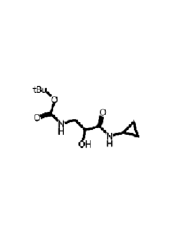 CC(C)(C)OC(=O)NCC(O)C(=O)NC1CC1